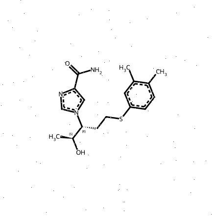 Cc1ccc(SCC[C@H]([C@H](C)O)n2cnc(C(N)=O)c2)cc1C